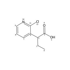 C[CH]C(C(=O)O)c1cccnc1Cl